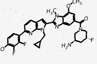 COc1cc(C(=O)N2C[C@H](N)C[C@@H](F)C2)cc2nc(-c3cc4ccc(-c5ccc(O)c(F)c5F)nc4n3CC3CC3)n(C)c12